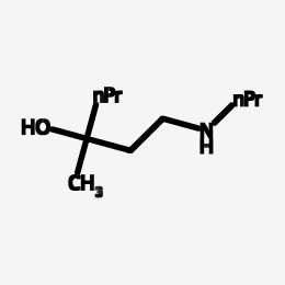 CCCNCCC(C)(O)CCC